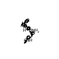 C=CC(=O)N[C@@H]1CCCN(Cc2cnc(N)c(COc3ccc(-c4cc5c(N6CCOCC6)ncnc5[nH]4)cc3)c2)C1